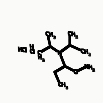 CCC(ON)N(C(C)C)C(C)C.Cl.Cl